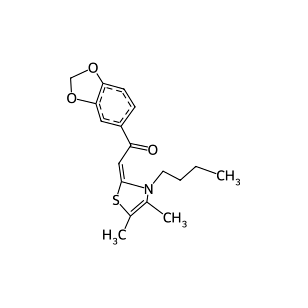 CCCCN1C(=CC(=O)c2ccc3c(c2)OCO3)SC(C)=C1C